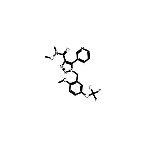 COc1ccc(OC(F)(F)F)cc1Cn1nnc(C(=O)N(C)OC)c1-c1cccnc1